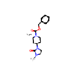 CN1CCN(C2CCN(C(=O)OCc3ccccc3)CC2)C1=O.[NaH]